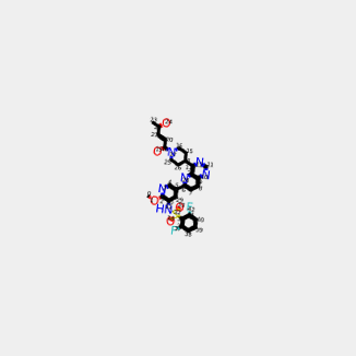 COc1ncc(-c2ccc3ncnc(C4CCN(C(=O)/C=C/C(C)=O)CC4)c3n2)cc1NS(=O)(=O)c1c(F)cccc1F